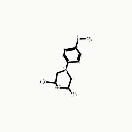 CC1CN(c2ccc(OC(F)(F)F)cc2)CC(C)N1